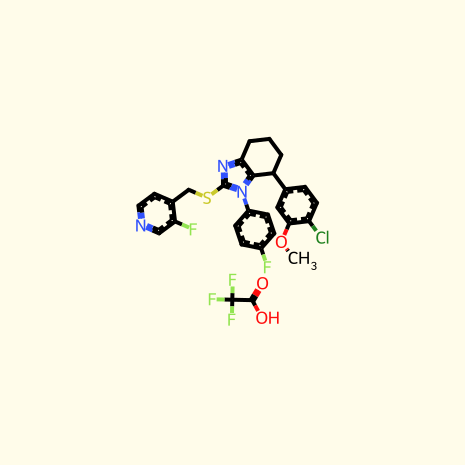 COc1cc(C2CCCc3nc(SCc4ccncc4F)n(-c4ccc(F)cc4)c32)ccc1Cl.O=C(O)C(F)(F)F